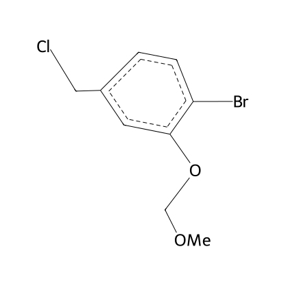 COCOc1cc(CCl)ccc1Br